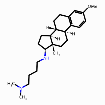 COc1ccc2c(c1)CC[C@@H]1[C@@H]2CC[C@]2(C)[C@@H](NCCCCN(C)C)CC[C@@H]12